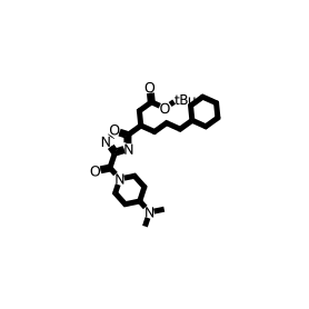 CN(C)C1CCN(C(=O)c2noc(C(CCCC3CCCCC3)CC(=O)OC(C)(C)C)n2)CC1